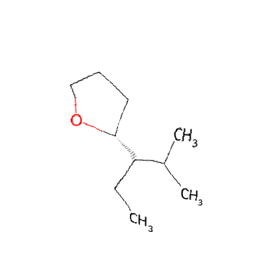 CCC(C(C)C)[C@H]1CCCO1